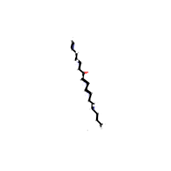 CC/C=C/C/C=C/CC(O)/C=C/C=C/C/C=C/CCCC(=O)O